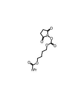 CCCC(=O)OCCCCOC(=O)ON1C(=O)CCC1=O